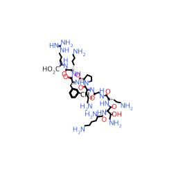 Cc1cccc(C[C@H](NC(=O)[C@@H]2CCCN2C(=O)/C(CCCN)=N/C(=O)CNC(=O)[C@H](CCCN)NC(=O)[C@@H](NC(=O)[C@@H](N)CCCCN)[C@@H](O)CN)C(=O)N[C@@H](CCCCN)C(=O)N/C(=C\CCNC(=N)N)C(=O)O)c1